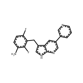 Nc1ccc(F)c(Cc2c[nH]c3ncc(-c4cccnc4)cc23)c1F